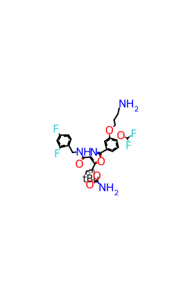 CC(C)(C)C[C@H](OC(N)=O)c1oc(-c2ccc(OC(F)F)c(OCCCCN)c2)nc1C(=O)NCc1ccc(F)cc1F